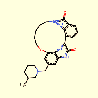 CC1CCCN(Cc2cc3c4nc(c(=O)[nH]c4c2)-c2cccc4c(=O)n([nH]c24)CCCCCO3)C1